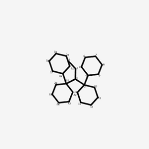 CCC(C1(C2CCCCC2)CCCCC1)C1(C2CCCCC2)CCCCC1